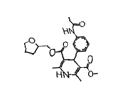 COC(=O)C1=C(C)NC(C)=C(C(=O)OCC2CCCO2)C1c1cccc(NC(C)=O)c1